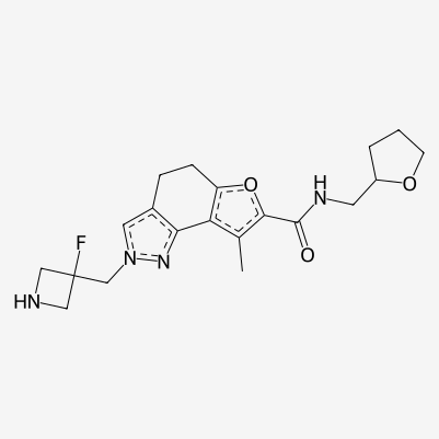 Cc1c(C(=O)NCC2CCCO2)oc2c1-c1nn(CC3(F)CNC3)cc1CC2